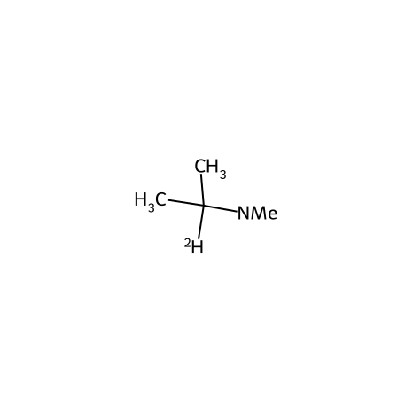 [2H]C(C)(C)NC